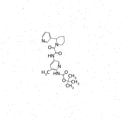 Cc1cc(NC(=O)C(=O)N2CCCCC2c2cccnc2)cnc1NC(=O)OC(C)(C)C